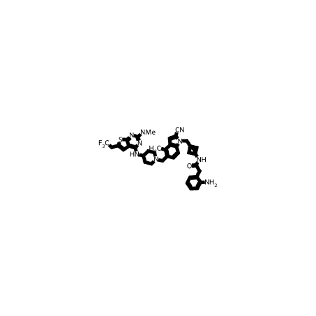 CNc1nc(NC2CCN(Cc3ccc4c(cc(C#N)n4CC45CC(NC(=O)Cc6ccccc6N)(C4)C5)c3C)CC2)c2cc(CC(F)(F)F)sc2n1